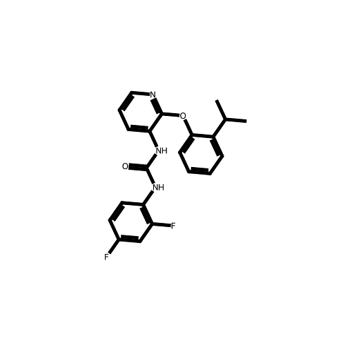 CC(C)c1ccccc1Oc1ncccc1NC(=O)Nc1ccc(F)cc1F